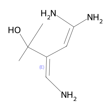 CC(C)(O)/C(C=C(N)N)=C/N